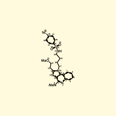 CNc1nc2ccccc2c2c1nc(CCOC)n2CCCCNS(=O)(=O)c1ccc(C#N)cc1